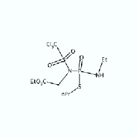 CCCSP(=O)(NCC)N(CC(=O)OCC)S(=O)(=O)C(Cl)(Cl)Cl